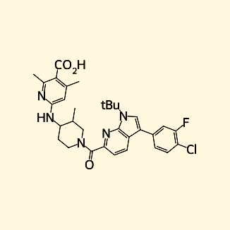 Cc1cc(NC2CCN(C(=O)c3ccc4c(-c5ccc(Cl)c(F)c5)cn(C(C)(C)C)c4n3)CC2C)nc(C)c1C(=O)O